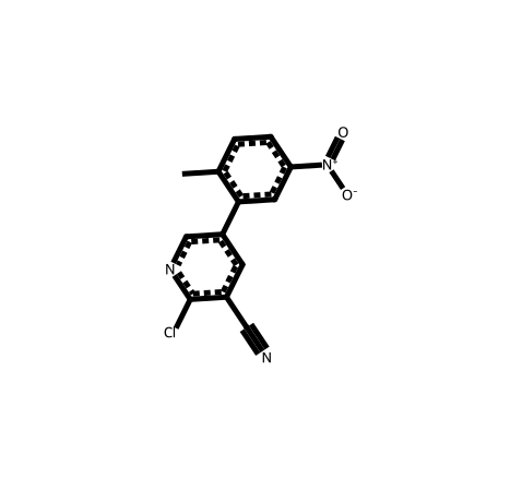 Cc1ccc([N+](=O)[O-])cc1-c1cnc(Cl)c(C#N)c1